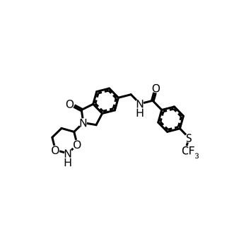 O=C(NCc1ccc2c(c1)CN(C1CCONO1)C2=O)c1ccc(SC(F)(F)F)cc1